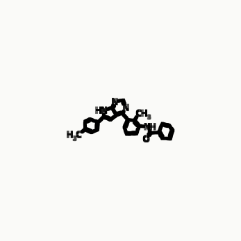 Cc1ccc(-c2cc3c(-c4cccc(NC(=O)c5ccccc5)c4C)ncnc3[nH]2)cc1